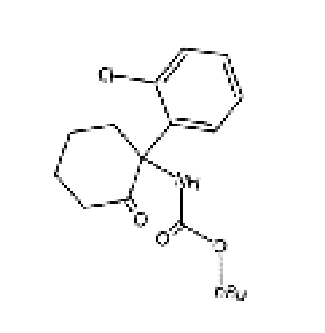 CCCCOC(=O)NC1(c2ccccc2Cl)CCCCC1=O